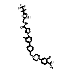 COC(=O)c1ccc(N2CCN(Cc3ccc(-c4ccc(-n5cc(C(=O)NCc6nc(C(C)(C)C(F)(F)F)n[nH]6)cn5)c(C)c4)cc3)CC2)cc1F